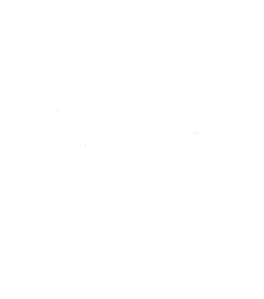 CCCCc1nc(C)n(Cc2ccccn2)c(=O)c1Cc1ccc(-c2ccccc2)c(C#N)c1